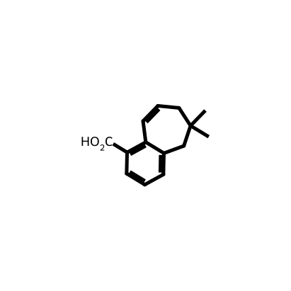 CC1(C)CC=Cc2c(cccc2C(=O)O)C1